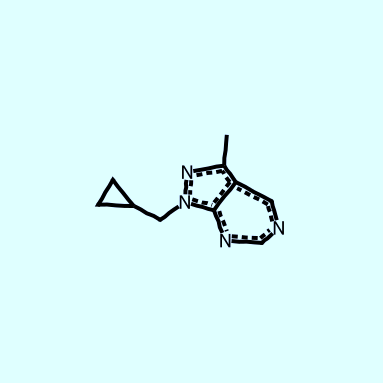 Cc1nn(CC2CC2)c2ncncc12